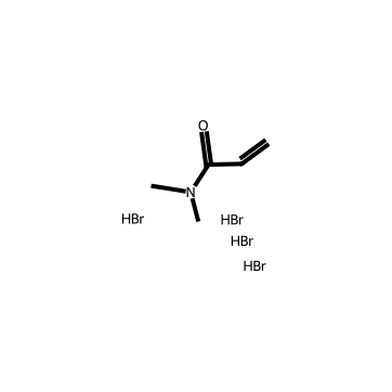 Br.Br.Br.Br.C=CC(=O)N(C)C